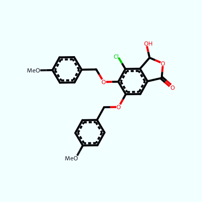 COc1ccc(COc2cc3c(c(Cl)c2OCc2ccc(OC)cc2)C(O)OC3=O)cc1